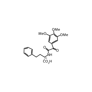 COc1cc(C(=O)C(=O)N[C@@H](CCc2ccccc2)C(=O)O)cc(OC)c1OC